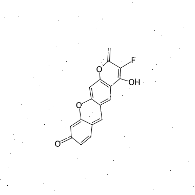 C=C1Oc2cc3oc4cc(=O)ccc-4cc3cc2C(O)=C1F